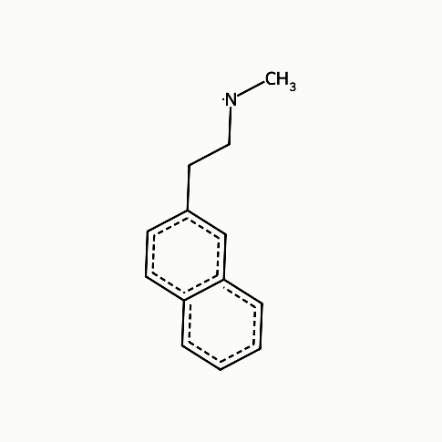 C[N]CCc1ccc2ccccc2c1